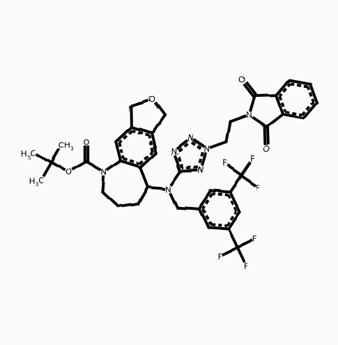 CC(C)(C)OC(=O)N1CCCC(N(Cc2cc(C(F)(F)F)cc(C(F)(F)F)c2)c2nnn(CCN3C(=O)c4ccccc4C3=O)n2)c2cc3c(cc21)COC3